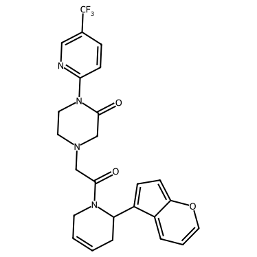 O=C1CN(CC(=O)N2CC=CCC2c2ccc3occcc2-3)CCN1c1ccc(C(F)(F)F)cn1